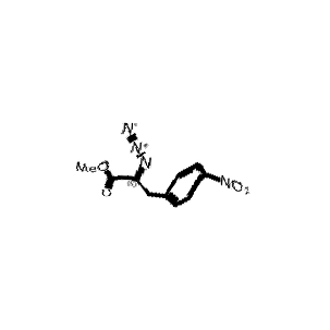 COC(=O)[C@H](Cc1ccc([N+](=O)[O-])cc1)N=[N+]=[N-]